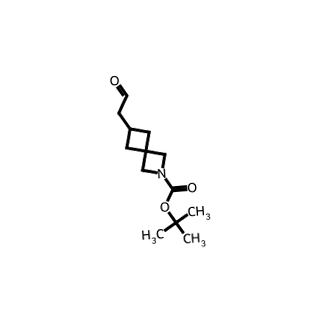 CC(C)(C)OC(=O)N1CC2(CC(CC=O)C2)C1